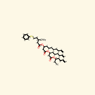 C=CCCCCCCC(CC(=O)OC(CCCCC=C)CC(=O)OC(CCC=C)CC(C)=O)OC(=O)CC(CCSc1ccccc1)OC